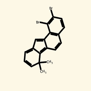 CC1(C)C=CC=C2C=c3c(ccc4ccc(Br)c(Br)c34)=C21